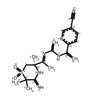 C=C(/N=C(\C)[C@]1(C)CS(=O)(=O)C(C)(C)C(=N)N1)NC(=C)c1ccc(C#N)cn1